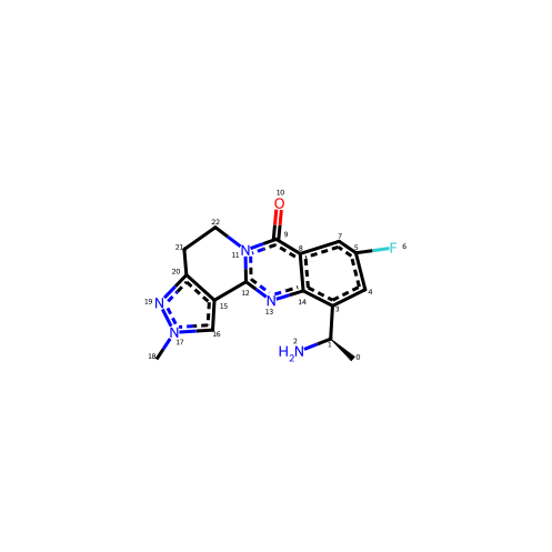 C[C@@H](N)c1cc(F)cc2c(=O)n3c(nc12)-c1cn(C)nc1CC3